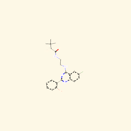 CC(C)(C)[C@@H](O)C(=O)NCCNc1nc(-c2ccccc2O)nc2ccc(F)cc12